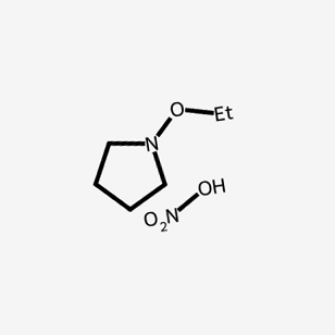 CCON1CCCC1.O=[N+]([O-])O